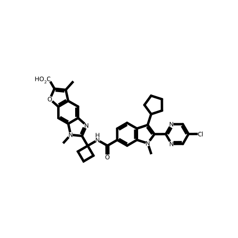 Cc1c(C(=O)O)oc2cc3c(cc12)nc(C1(NC(=O)c2ccc4c(C5CCCC5)c(-c5ncc(Cl)cn5)n(C)c4c2)CCC1)n3C